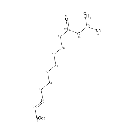 CCCCCCCCC=CCCCCCCCC(=O)OC(C)C#N